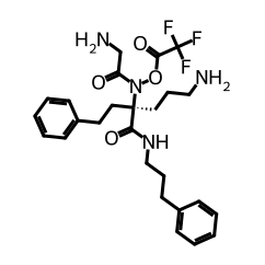 NCCC[C@@](CCc1ccccc1)(C(=O)NCCCc1ccccc1)N(OC(=O)C(F)(F)F)C(=O)CN